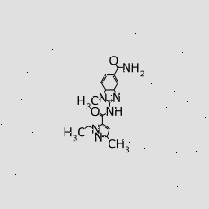 CCn1nc(C)cc1C(=O)Nc1nc2cc(C(N)=O)ccc2n1C